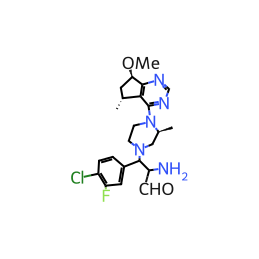 CO[C@@H]1C[C@@H](C)c2c1ncnc2N1CCN(C(c2ccc(Cl)c(F)c2)C(N)C=O)C[C@@H]1C